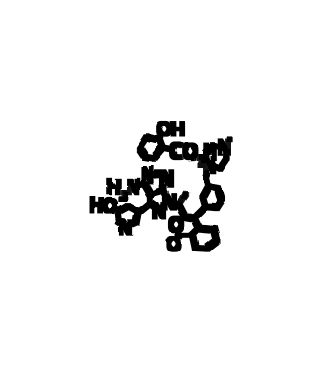 C[C@@H](c1oc(=O)c2ccccc2c1-c1cccc(CN2CCN(C)CC2)c1)n1nc(-c2cncc(O)c2)c2c(N)ncnc21.O=C(O)c1ccccc1O